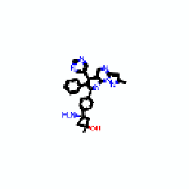 Cc1cc2ncc3c(-c4cncnc4)c(-c4ccccc4)c(-c4ccc([C@]5(N)C[C@](C)(O)C5)cc4)nc3n2n1